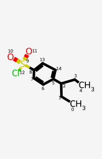 CCC(CC)c1ccc(S(=O)(=O)Cl)cc1